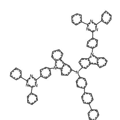 c1ccc(-c2ccc(-c3ccc(N(c4ccc5c(c4)c4ccccc4n5-c4ccc(-c5nc(-c6ccccc6)nc(-c6ccccc6)n5)cc4)c4ccc5c(c4)c4ccccc4n5-c4ccc(-c5nc(-c6ccccc6)nc(-c6ccccc6)n5)cc4)cc3)cc2)cc1